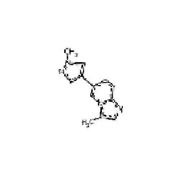 Cc1cnc2ccc(-c3cnn(C)c3)cn12